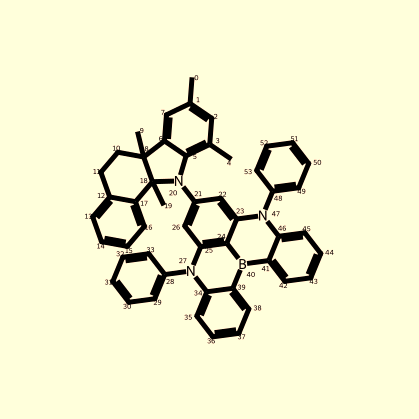 Cc1cc(C)c2c(c1)C1(C)CCc3ccccc3C1(C)N2c1cc2c3c(c1)N(c1ccccc1)c1ccccc1B3c1ccccc1N2c1ccccc1